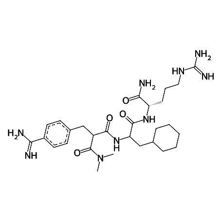 CN(C)C(=O)C(Cc1ccc(C(=N)N)cc1)C(=O)NC(CC1CCCCC1)C(=O)N[C@@H](CCCNC(=N)N)C(N)=O